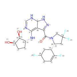 O=C(C1=NNC2NC=NC(N[C@@H]3CC[C@@H](O)[C@H]3O)=C12)N1CC(F)(F)C[C@@H]1C1CC(F)CC=C1F